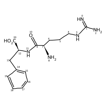 N=C(N)NCCC[C@@H](N)C(=O)N[C@@H](Cc1ccccc1)C(=O)O